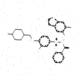 O=C(c1ccccc1)N(Oc1cc2cc[nH]c2cc1F)S(=O)(=O)c1ccc(NCC2CCC(O)CC2)c([N+](=O)[O-])c1